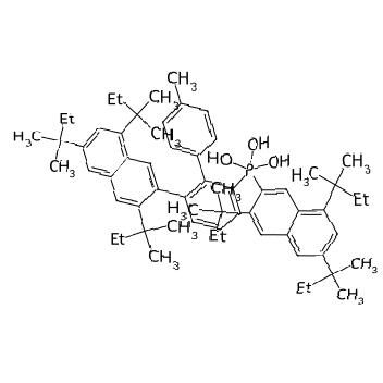 CCC(C)(C)c1cc(C(C)(C)CC)c2cc(-c3cccc(P(O)(O)(O)c4cc5c(C(C)(C)CC)cc(C(C)(C)CC)cc5cc4C(C)(C)CC)c3-c3ccc(C)cc3)c(C(C)(C)CC)cc2c1